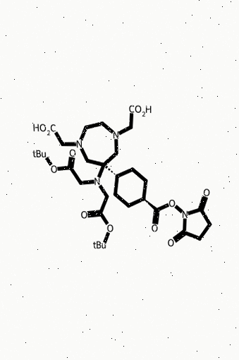 CC(C)(C)OC(=O)CN(CC(=O)OC(C)(C)C)C1([C@H]2CC[C@H](C(=O)ON3C(=O)CCC3=O)CC2)CN(CC(=O)O)CCN(CC(=O)O)C1